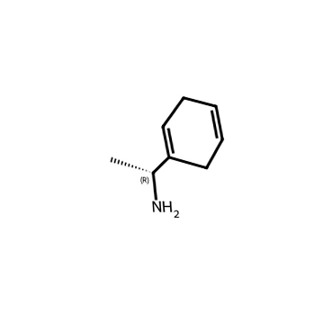 C[C@@H](N)C1=CCC=CC1